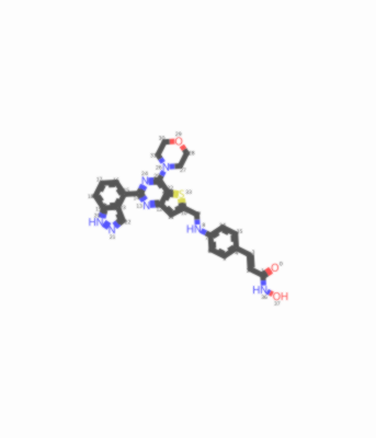 O=C(/C=C/c1ccc(NCc2cc3nc(-c4cccc5[nH]ncc45)nc(N4CCOCC4)c3s2)cc1)NO